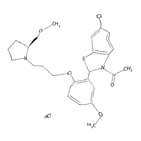 COC[C@@H]1CCCN1CCCOc1ccc(OC)cc1C1Sc2cc(Cl)ccc2N1C(C)=O.Cl